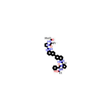 CCC(O)N[C@@H](C(=O)N1[C@@H]2CC[C@@H](C2)[C@H]1c1nc2ccc3cc(-c4ccc5c(ccc6nc([C@@H]7CCCN7C(=O)[C@@H](NC(=O)OC)C(C)C)[nH]c65)c4)ccc3c2[nH]1)c1ccccc1